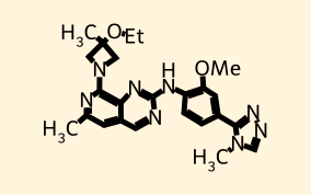 CCOC1(C)CN(c2nc(C)cc3cnc(Nc4ccc(-c5nncn5C)cc4OC)nc23)C1